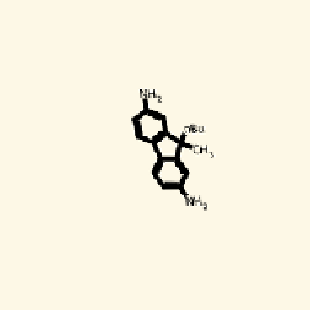 CCCCC1(C)c2cc(N)ccc2-c2ccc(N)cc21